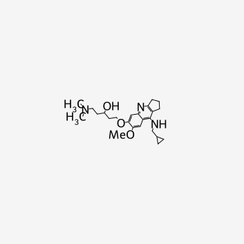 COc1cc2c(NCC3CC3)c3c(nc2cc1OCCC(O)CCN(C)C)CCC3